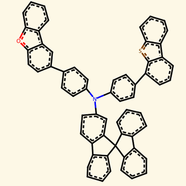 c1ccc2c(c1)-c1ccccc1C21c2ccccc2-c2ccc(N(c3ccc(-c4ccc5oc6ccccc6c5c4)cc3)c3ccc(-c4cccc5c4sc4ccccc45)cc3)cc21